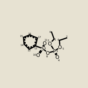 CCOP(=O)(OCC)OS(=O)(=O)c1ccccc1